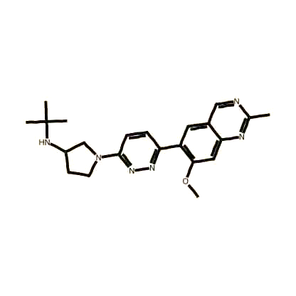 COc1cc2nc(C)ncc2cc1-c1ccc(N2CCC(NC(C)(C)C)C2)nn1